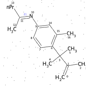 C=C(C)C(C)(C)c1ccc(/N=C(\C)CCC)cc1C